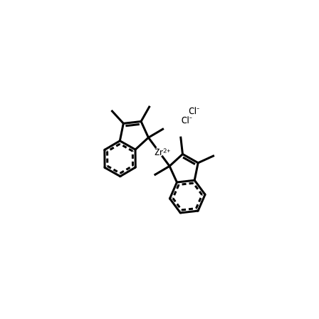 CC1=C(C)[C](C)([Zr+2][C]2(C)C(C)=C(C)c3ccccc32)c2ccccc21.[Cl-].[Cl-]